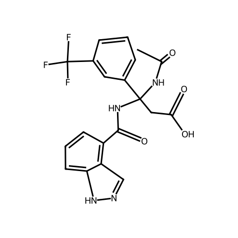 CC(=O)NC(CC(=O)O)(NC(=O)c1cccc2[nH]ncc12)c1cccc(C(F)(F)F)c1